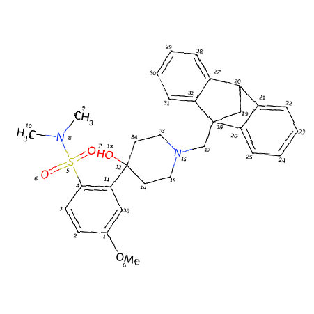 COc1ccc(S(=O)(=O)N(C)C)c(C2(O)CCN(CC34CC(c5ccccc53)c3ccccc34)CC2)c1